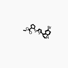 CCOC(=O)C1CCCC1Sc1ccc(-c2ccnc3ccc(Br)cc23)s1